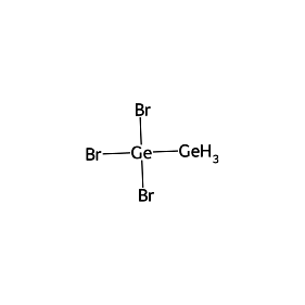 [GeH3][Ge]([Br])([Br])[Br]